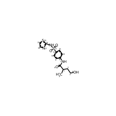 CC(CCO)C(=O)Nc1ccc(S(=O)(=O)Nc2nccs2)cc1